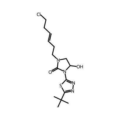 CC(C)(C)c1nnc(N2C(=O)N(CCC=CCCCl)CC2O)s1